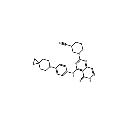 N#CC1CCCN(c2nc(Nc3ccc(N4CCC5(CC4)CC5)cc3)c3c(=O)[nH]ncc3n2)C1